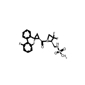 CS(=O)(=O)NC[C@H]1N(C(=O)[C@@H]2C[C@@]2(F)c2ccccc2-c2c(F)cccc2F)CC1(F)F